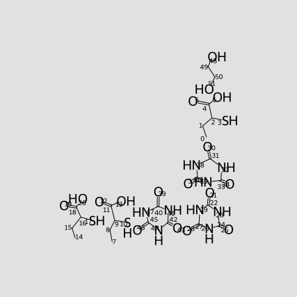 CCC(S)C(=O)O.CCC(S)C(=O)O.CCC(S)C(=O)O.O=c1[nH]c(=O)[nH]c(=O)[nH]1.O=c1[nH]c(=O)[nH]c(=O)[nH]1.O=c1[nH]c(=O)[nH]c(=O)[nH]1.OCCO